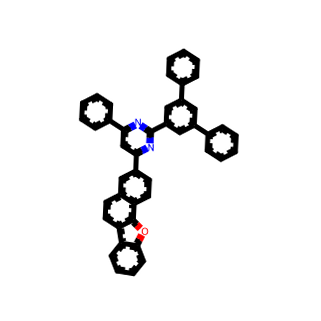 c1ccc(-c2cc(-c3ccccc3)cc(-c3nc(-c4ccccc4)cc(-c4ccc5c(ccc6c7ccccc7oc56)c4)n3)c2)cc1